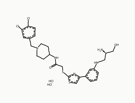 Cl.Cl.N[C@@H](CO)CNc1cccc(-c2csc(SCC(=O)NC3CCN(Cc4ccc(Cl)c(Cl)c4)CC3)n2)c1